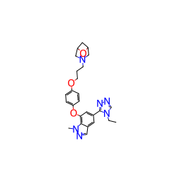 CCn1cnnc1-c1cc(Oc2ccc(OCCCN3CC4CC(C3)O4)cc2)c2c(cnn2C)c1